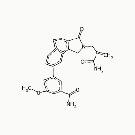 C=C(CN1Cc2c(ccc3ccc(-c4cc(OC)cc(C(N)=O)c4)cc23)C1=O)C(N)=O